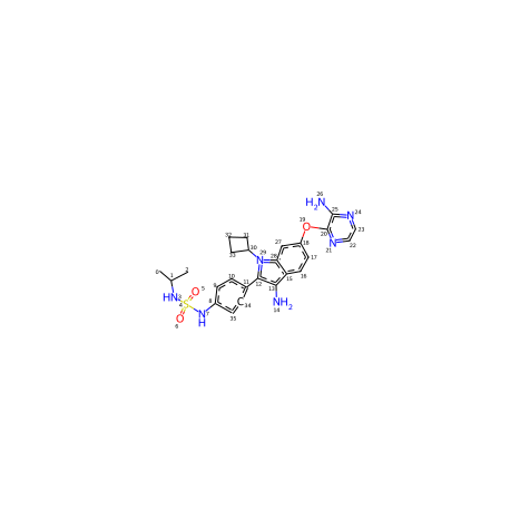 CC(C)NS(=O)(=O)Nc1ccc(-c2c(N)c3ccc(Oc4nccnc4N)cc3n2C2CCC2)cc1